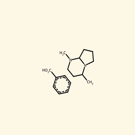 CC1CCN(C)C2CCCN12.O=C(O)c1ccccc1